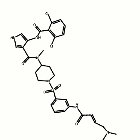 CN(C)C/C=C/C(=O)Nc1cccc(S(=O)(=O)N2CCC(N(C)C(=O)c3n[nH]cc3NC(=O)c3c(Cl)cccc3Cl)CC2)c1